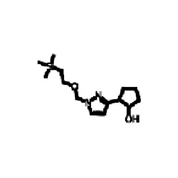 C[Si](C)(C)CCOCn1ccc(C2CCCC2O)n1